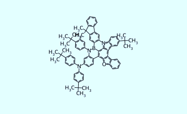 CC(C)(C)c1ccc(N2B3c4cc5c(cc4-n4c6ccc(C(C)(C)C)cc6c6c7c(oc8ccccc87)c(c3c64)-c3ccc(N(c4ccc(C(C)(C)C)cc4)c4ccc(C(C)(C)C)cc4)cc32)-c2ccccc2C5(C)C)cc1